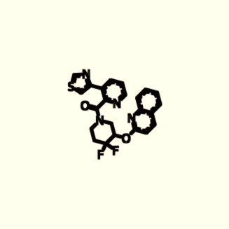 O=C(c1ncccc1-c1cscn1)N1CCC(F)(F)C(Oc2ccc3ccccc3n2)C1